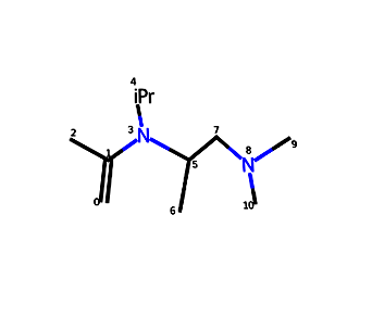 C=C(C)N(C(C)C)C(C)CN(C)C